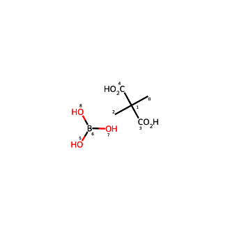 CC(C)(C(=O)O)C(=O)O.OB(O)O